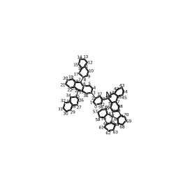 c1cc(-c2ccc3c(-c4ccc5ccccc5c4)c4ccccc4c(-c4ccc5ccccc5c4)c3c2)cc(-c2nc3ccccc3c3cc4c(cc23)C2(c3ccccc3-c3ccccc32)c2ccccc2-4)c1